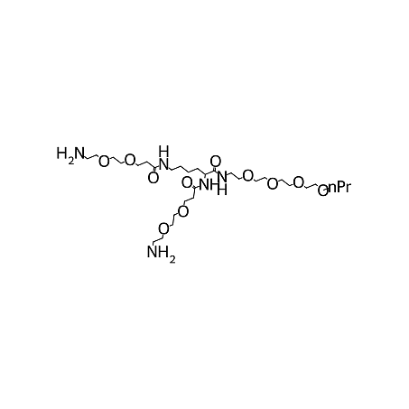 CCCOCCOCCOCCOCCNC(=O)C(CCCCNC(=O)CCOCCOCCN)NC(=O)CCOCCOCCN